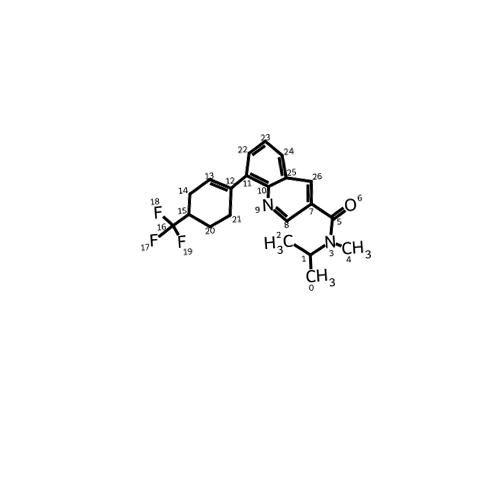 CC(C)N(C)C(=O)c1cnc2c(C3=CCC(C(F)(F)F)CC3)cccc2c1